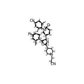 Cc1cc(Cl)cc(C)c1-n1cc(-c2nc(C3CCN(CCC#N)CC3)oc2-c2ccc(F)cc2F)ccc1=O